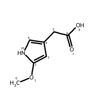 COc1cc(CC(=O)O)c[nH]1